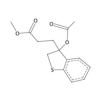 COC(=O)CCC1(OC(C)=O)CSc2ccccc21